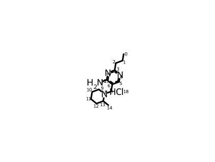 CCCc1ncc(CN2CCCCC2C)c(N)n1.Cl